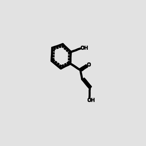 O=C(C=CO)c1ccccc1O